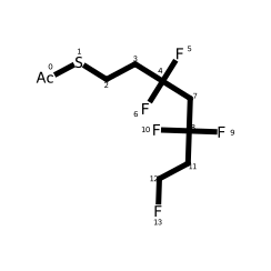 CC(=O)SCCC(F)(F)CC(F)(F)CCF